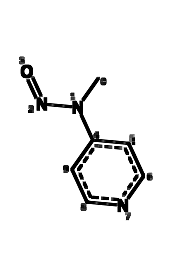 CN(N=O)c1[c]cncc1